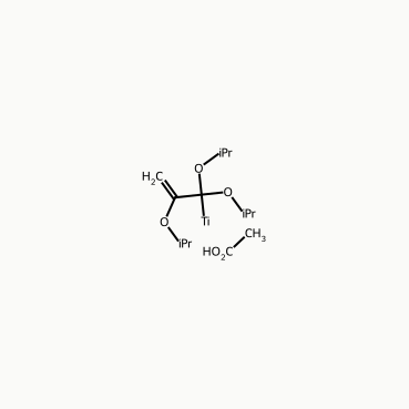 C=C(OC(C)C)[C]([Ti])(OC(C)C)OC(C)C.CC(=O)O